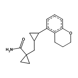 NC(=O)C1(CC2CC2c2cccc3c2CCCO3)CC1